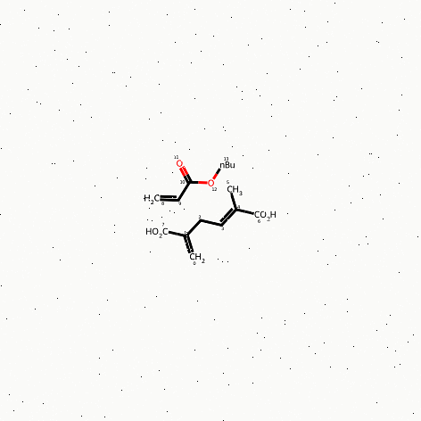 C=C(CC=C(C)C(=O)O)C(=O)O.C=CC(=O)OCCCC